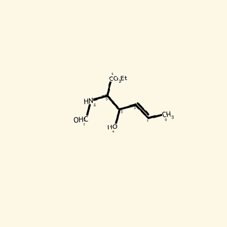 CC=CC(O)C(NC=O)C(=O)OCC